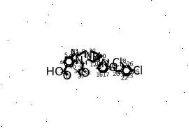 O=C(O)c1ccc2nc(CN3CC[C@]4(c5cccc(OCc6ccc(Cl)cc6Cl)n5)C[C@@H]4C3)n(CC3CCO3)c2c1